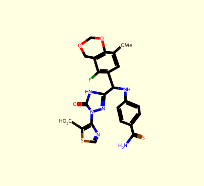 COc1cc(C(Nc2ccc(C(N)=S)cc2)c2nn(-c3ncsc3C(=O)O)c(=O)[nH]2)c(F)c2c1OCOC2